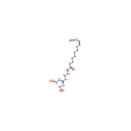 CCCCCCCC/C=C\CCCCCCCC(=O)OCCCN(CCO)CCO